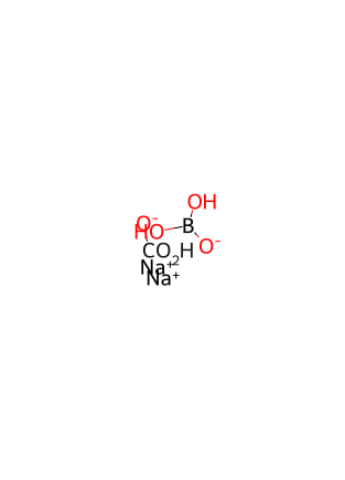 O=C([O-])O.[Na+].[Na+].[O-]B(O)O